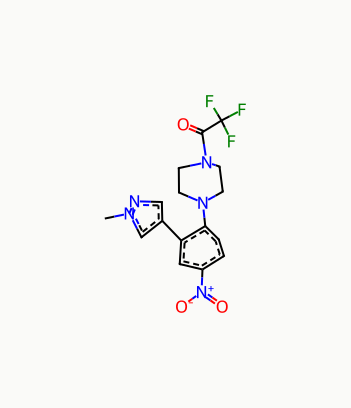 Cn1cc(-c2cc([N+](=O)[O-])ccc2N2CCN(C(=O)C(F)(F)F)CC2)cn1